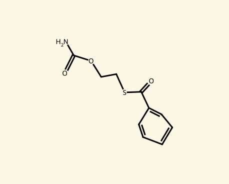 NC(=O)OCCSC(=O)c1ccccc1